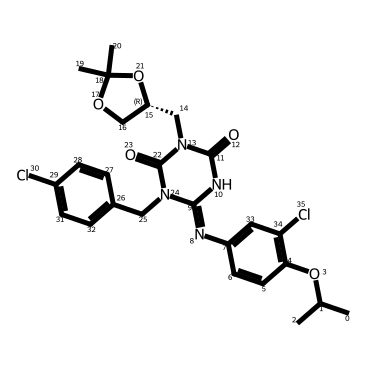 CC(C)Oc1ccc(N=c2[nH]c(=O)n(C[C@@H]3COC(C)(C)O3)c(=O)n2Cc2ccc(Cl)cc2)cc1Cl